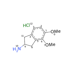 COc1ccc2c(c1OC)CC(N)C2.Cl